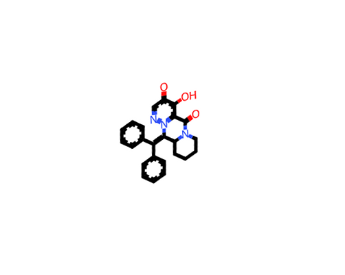 O=C1c2c(O)c(=O)cnn2C(=C(c2ccccc2)c2ccccc2)C2CCCCN12